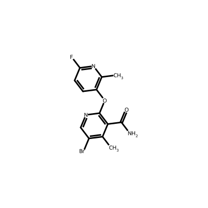 Cc1nc(F)ccc1Oc1ncc(Br)c(C)c1C(N)=O